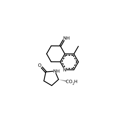 Cc1ccnc2c1C(=N)CCC2.O=C1CC[C@@H](C(=O)O)N1